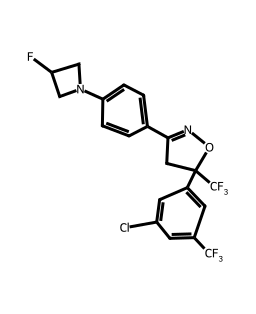 FC1CN(c2ccc(C3=NOC(c4cc(Cl)cc(C(F)(F)F)c4)(C(F)(F)F)C3)cc2)C1